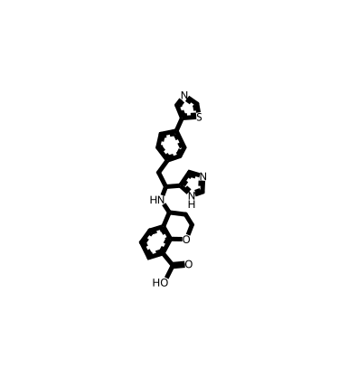 O=C(O)c1cccc2c1OCCC2NC(Cc1ccc(-c2cncs2)cc1)c1cnc[nH]1